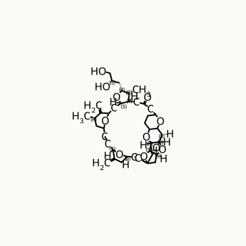 C=C1C2C[C@@H]3O[C@H](C[C@H](O)CO)[C@H](C)[C@H]3CC(=O)CC3CCC4O[C@H]5[C@H]6OC7(CC[C@H]8CC(=C)[C@H](CCC(C[C@H]1C)O2)O8)C[C@@H]6O[C@H]5[C@@H](O7)C4O3